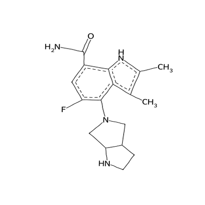 Cc1[nH]c2c(C(N)=O)cc(F)c(N3CC4CCNC4C3)c2c1C